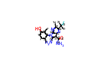 Cc1ccc(O)c(C)c1-n1c(N)c(C(N)=O)c2nc(C(C)(C)F)c(C)nc21